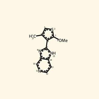 COc1scc(C)c1-c1nc2cnccc2[nH]1